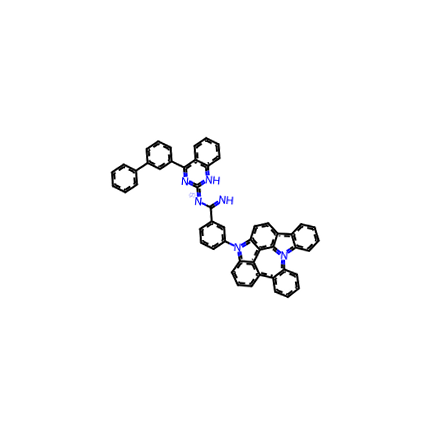 N=C(/N=c1/nc(-c2cccc(-c3ccccc3)c2)c2ccccc2[nH]1)c1cccc(-n2c3cccc4c5ccccc5n5c6ccccc6c6ccc2c(c43)c65)c1